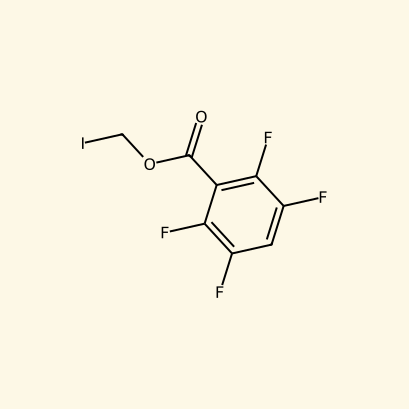 O=C(OCI)c1c(F)c(F)cc(F)c1F